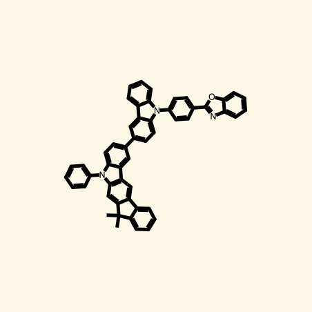 CC1(C)c2ccccc2-c2cc3c4cc(-c5ccc6c(c5)c5ccccc5n6-c5ccc(-c6nc7ccccc7o6)cc5)ccc4n(-c4ccccc4)c3cc21